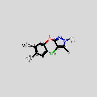 COc1cc(Oc2nn(C(F)(F)F)c(C)c2Cl)ccc1[N+](=O)[O-]